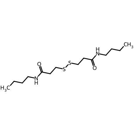 CCCCNC(=O)CCSSCCC(=O)NCCCC